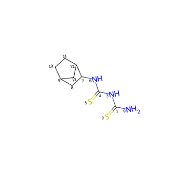 NC(=S)NC(=S)NC1CC2CCC1C2